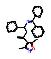 C=C(CC(N=C(c1ccccc1)c1ccccc1)c1ccccc1)c1c(C)noc1C